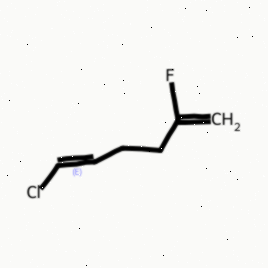 C=C(F)CC/C=C/Cl